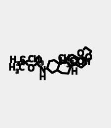 CC(C)(C)OC(=O)N[C@H]1CC[C@@]2(C)C(CC[C@@H]3C2CC[C@]2(C)C4(CC[C@@]32O)OCCO4)C1